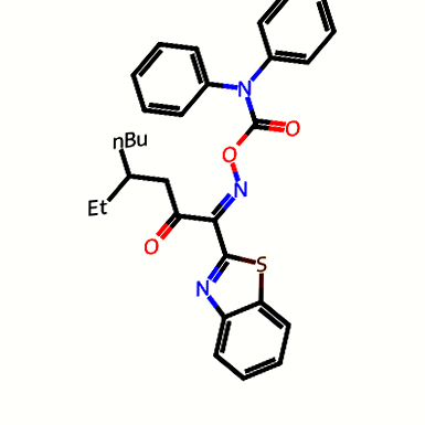 CCCCC(CC)CC(=O)/C(=N\OC(=O)N(c1ccccc1)c1ccccc1)c1nc2ccccc2s1